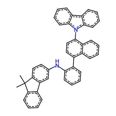 CC1(C)c2ccccc2-c2cc(Nc3ccccc3-c3ccc(-n4c5ccccc5c5ccccc54)c4ccccc34)ccc21